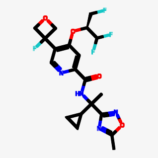 Cc1nc(C(C)(NC(=O)c2cc(O[C@@H](CF)C(F)F)c(C3(F)COC3)cn2)C2CC2)no1